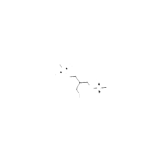 CS(=O)(=O)OCC(CF)COS(C)(=O)=O